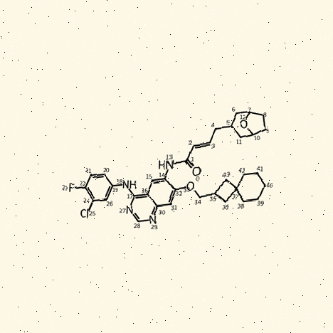 O=C(/C=C/CC1CC2CCC(C1)O2)Nc1cc2c(Nc3ccc(F)c(Cl)c3)ncnc2cc1OCC1CC2(CCCCC2)C1